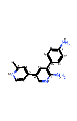 Cc1cc(-c2cnc(N)c(-c3ccc(N)cc3)c2)ccn1